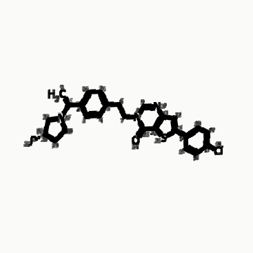 CC(c1ccc(CCn2cnc3cc(-c4ccc(Cl)cc4)sc3c2=O)cc1)N1CC[C@H](F)C1